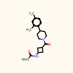 COC(=O)NC1CC(C(=O)N2CCC(c3ccc(C(F)(F)F)cc3C)CC2)C1